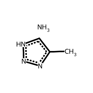 Cc1c[nH]nn1.N